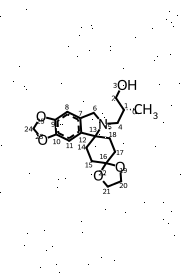 C[C@@H](CO)CN1Cc2cc3c(cc2C12CCC1(CC2)OCCO1)OCO3